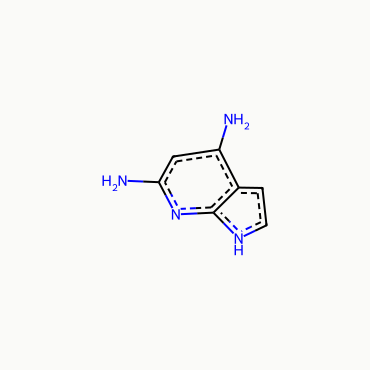 Nc1cc(N)c2cc[nH]c2n1